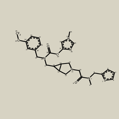 CN(Cc1cccs1)C(=O)CN1CC2C(C1)C2CN(Cc1cccc(OC(F)(F)F)c1)C(=O)Oc1cn(C)cn1